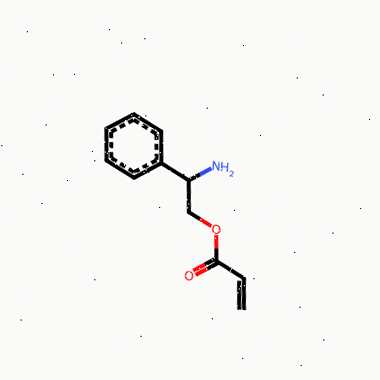 C=CC(=O)OCC(N)c1ccccc1